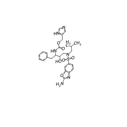 CC(C)CN(CC(O)C(Cc1ccccc1)NC(=O)OCc1cnc[nH]1)S(=O)(=O)c1ccc2nc(N)oc2c1